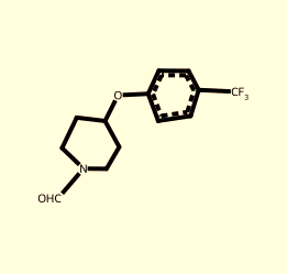 O=CN1CCC(Oc2ccc(C(F)(F)F)cc2)CC1